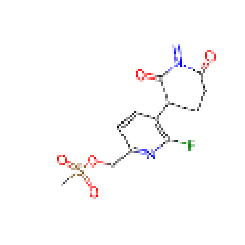 CS(=O)(=O)OCc1ccc(C2CCC(=O)NC2=O)c(F)n1